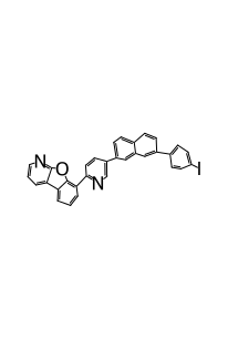 Ic1ccc(-c2ccc3ccc(-c4ccc(-c5cccc6c5oc5ncccc56)nc4)cc3c2)cc1